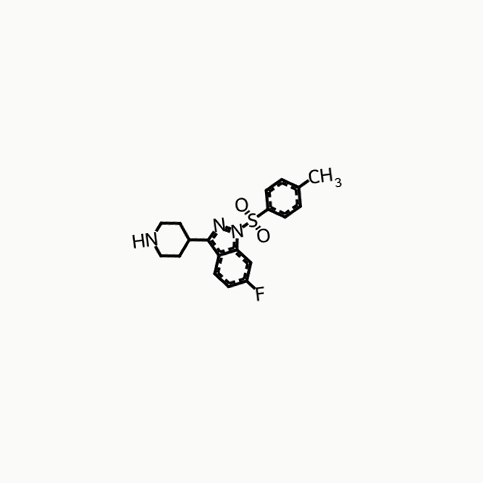 Cc1ccc(S(=O)(=O)n2nc(C3CCNCC3)c3ccc(F)cc32)cc1